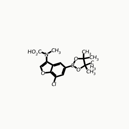 CN(C(=O)O)c1coc2c(Cl)cc(B3OC(C)(C)C(C)(C)O3)cc12